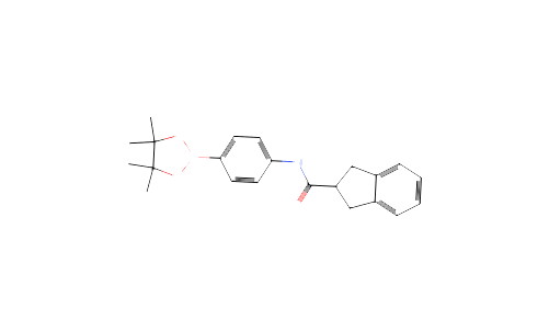 CC1(C)OB(c2ccc(NC(=O)C3Cc4ccccc4C3)cc2)OC1(C)C